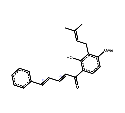 COc1ccc(C(=O)/C=C/C=C/c2ccccc2)c(O)c1CC=C(C)C